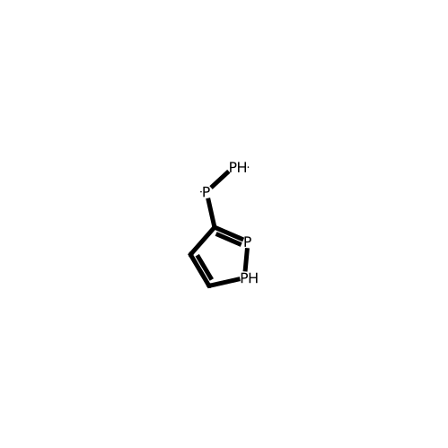 [PH][P]c1cc[pH]p1